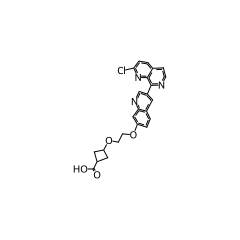 O=C(O)C1CC(OCCOc2ccc3cc(-c4nccc5ccc(Cl)nc45)cnc3c2)C1